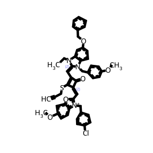 C#CCSC1=C(/C=C2/N(CC)c3cc(OCc4ccccc4)ccc3N2Cc2ccc(OC)cc2)C(=O)/C1=C/c1oc2cc(OC)ccc2[n+]1Cc1ccc(Cl)cc1